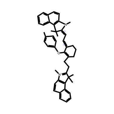 Cc1ccc(OC2=C(CCC3=[N+](C)c4ccc5ccccc5c4C3(C)C)CCC/C2=C\C=C2\N(C)c3ccc4ccccc4c3C2(C)C)cc1